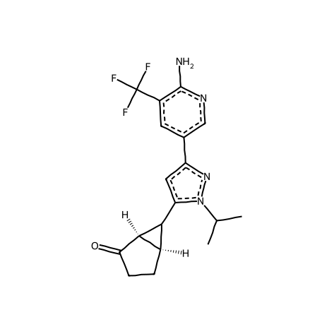 CC(C)n1nc(-c2cnc(N)c(C(F)(F)F)c2)cc1C1[C@H]2CCC(=O)[C@@H]12